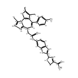 Cc1sc2c(c1C)C(c1ccc(Cl)cc1)=N[C@@H](CC(=O)Oc1ccc3nc(C4N=C(C(=O)O)CS4)sc3c1)c1nnc(C)n1-2